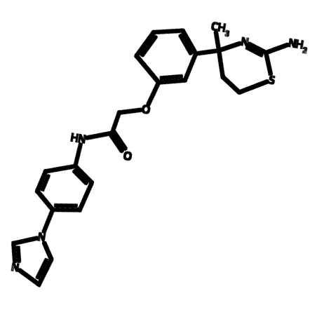 CC1(c2cccc(OCC(=O)Nc3ccc(-n4ccnc4)cc3)c2)CCSC(N)=N1